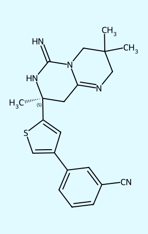 CC1(C)CN=C2C[C@@](C)(c3cc(-c4cccc(C#N)c4)cs3)NC(=N)N2C1